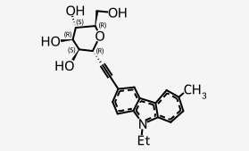 CCn1c2ccc(C)cc2c2cc(C#C[C@H]3O[C@H](CO)[C@@H](O)[C@H](O)[C@@H]3O)ccc21